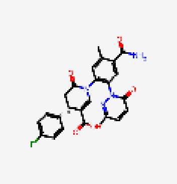 Cc1ccc(=O)n(-c2cc(C(N)=O)c(C)cc2N2C=C(C(=O)O)[C@H](c3ccc(F)cc3)CC2=O)n1